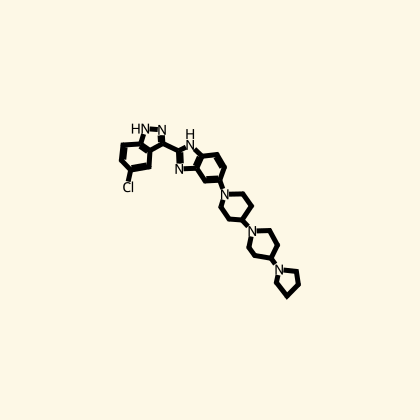 Clc1ccc2[nH]nc(-c3nc4cc(N5CCC(N6CCC(N7CCCC7)CC6)CC5)ccc4[nH]3)c2c1